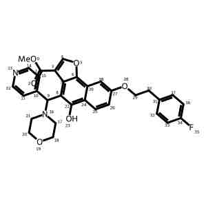 COC(=O)c1coc2c1c(C(c1ccncc1)N1CCOCC1)c(O)c1ccc(OCCc3ccc(F)cc3)cc12